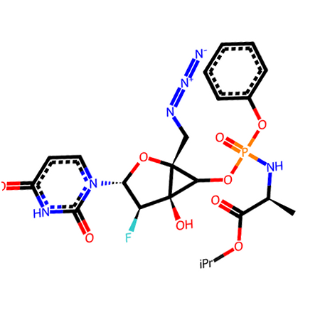 CC(C)OC(=O)[C@H](C)NP(=O)(Oc1ccccc1)OC1[C@@]2(CN=[N+]=[N-])O[C@@H](n3ccc(=O)[nH]c3=O)[C@H](F)[C@@]12O